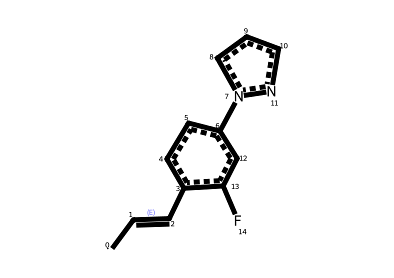 [CH2]/C=C/c1ccc(-n2cccn2)cc1F